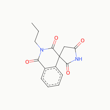 CCCN1C(=O)c2ccccc2C2(CC(=O)NC2=O)C1=O